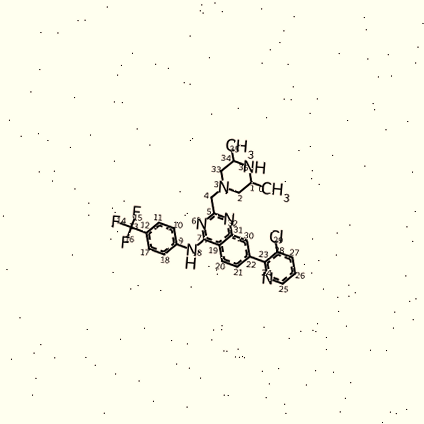 CC1CN(Cc2nc(Nc3ccc(C(F)(F)F)cc3)c3ccc(-c4ncccc4Cl)cc3n2)CC(C)N1